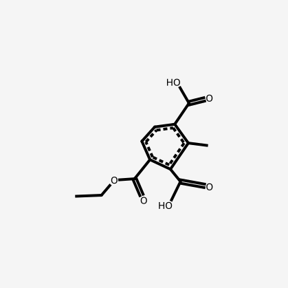 CCOC(=O)c1ccc(C(=O)O)c(C)c1C(=O)O